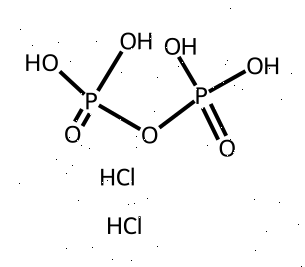 Cl.Cl.O=P(O)(O)OP(=O)(O)O